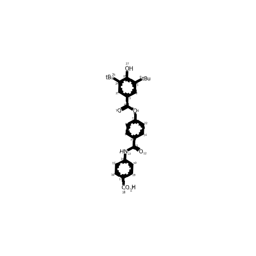 CC(C)(C)c1cc(C(=O)Oc2ccc(C(=O)Nc3ccc(C(=O)O)cc3)cc2)cc(C(C)(C)C)c1O